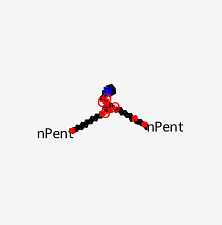 CCCCCC=CCC=CCCCCCCCCOc1cc(OCCCCCCCCC=CCC=CCCCCC)cc(C2OCC(CN3CCCCC3)O2)c1